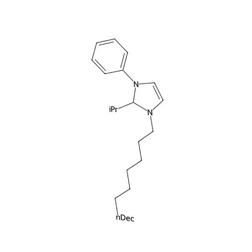 CCCCCCCCCCCCCCCCN1C=CN(c2ccccc2)C1C(C)C